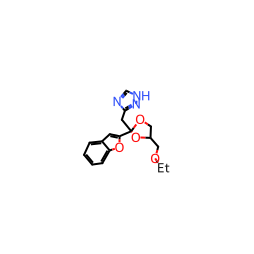 CCOCC1COC(Cc2nc[nH]n2)(c2cc3ccccc3o2)O1